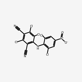 N#Cc1c(Cl)c(Cl)c(Nc2c(Cl)cc([N+](=O)[O-])cc2Cl)c(C#N)c1Cl